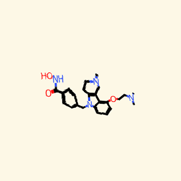 CN(C)CCOc1cccc2c1c1c(n2Cc2ccc(C(=O)NO)cc2)CCN(C)C1